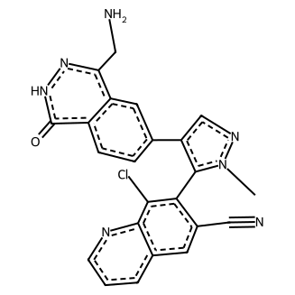 Cn1ncc(-c2ccc3c(=O)[nH]nc(CN)c3c2)c1-c1c(C#N)cc2cccnc2c1Cl